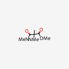 CNC(=O)C(C)(NC)C(=O)OC